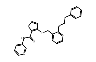 O=C(Nc1cccnc1)c1sccc1OCc1ccccc1OCCc1ccccc1